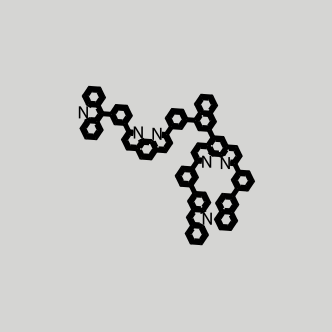 c1cc(-c2ccc3ccccc3c2)cc(-c2ccc3cc(-c4cc(-c5cccc(-c6ccc7ccc8ccc(-c9cccc(-c%10c%11ccccc%11nc%11ccccc%10%11)c9)nc8c7n6)c5)c5ccccc5c4)c4ccc(-c5cccc(-c6ccc7nc8ccccc8cc7c6)c5)nc4c3n2)c1